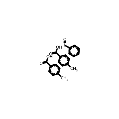 Cc1ccc(C(=O)O)cc1.Cc1ccc(C(=O)O)cc1.O=Ic1ccccc1